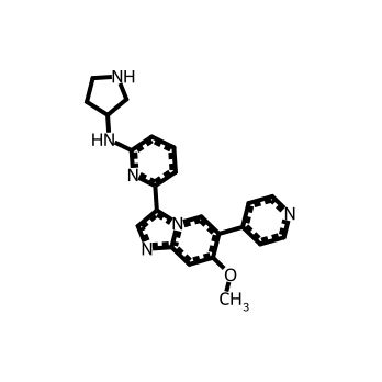 COc1cc2ncc(-c3cccc(NC4CCNC4)n3)n2cc1-c1ccncc1